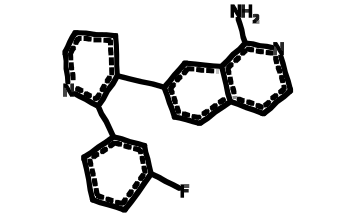 Nc1nccc2ccc(-c3cccnc3-c3cccc(F)c3)cc12